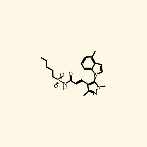 CCCCCS(=O)(=O)NC(=O)C=Cc1c(C)nn(C)c1-n1ccc2c(C)cccc21